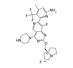 Cc1cc(N)nc(-c2ncc3c(N4CCNCC4)nc(OC[C@@]45CCCN4C[C@H](F)C5)nc3c2F)c1C(F)(F)F